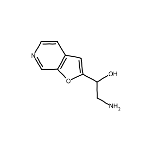 NCC(O)c1cc2ccncc2o1